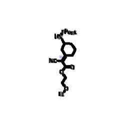 CCCCCNC1CCC/C(=C(/C#N)C(=O)OCCOCC)C1